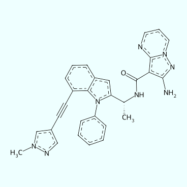 C[C@@H](NC(=O)c1c(N)nn2cccnc12)c1cc2cccc(C#Cc3cnn(C)c3)c2n1-c1ccccc1